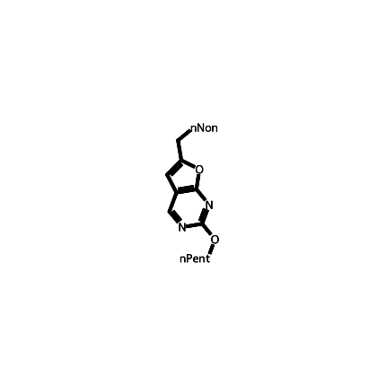 CCCCCCCCCCc1cc2cnc(OCCCCC)nc2o1